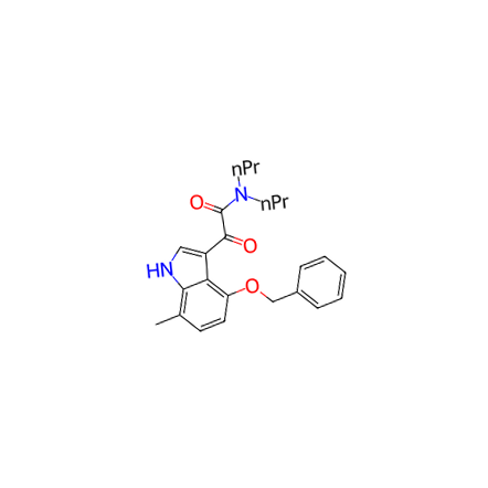 CCCN(CCC)C(=O)C(=O)c1c[nH]c2c(C)ccc(OCc3ccccc3)c12